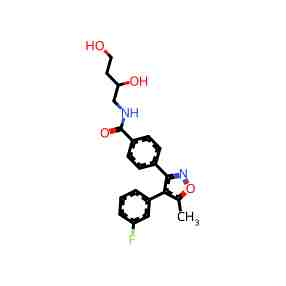 Cc1onc(-c2ccc(C(=O)NCC(O)CCO)cc2)c1-c1cccc(F)c1